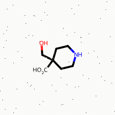 O=C(O)C1(CO)CCNCC1